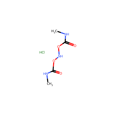 CNC(=O)ONOC(=O)NC.Cl